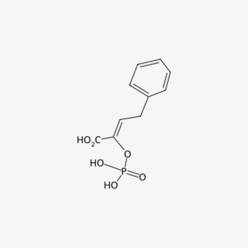 O=C(O)C(=CCc1ccccc1)OP(=O)(O)O